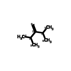 [C]=C(C(C)C)C(C)C